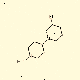 CC[C@@H]1CCCN(C2CCN(C)CC2)C1